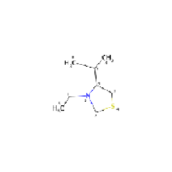 CCN1CSCC1C(C)C